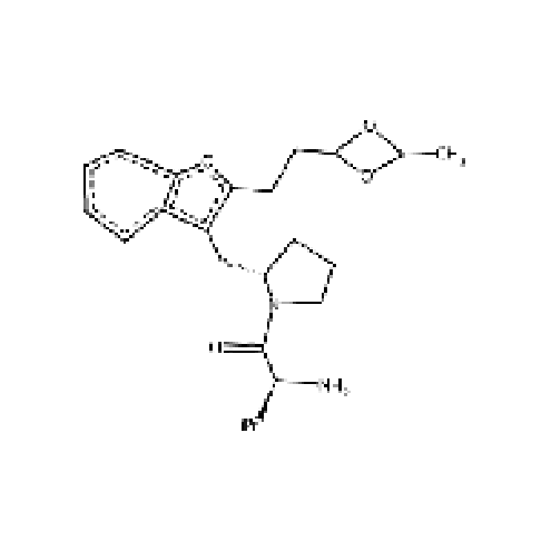 CC1OC(CCc2oc3ccccc3c2C[C@@H]2CCCN2C(=O)[C@@H](N)C(C)C)O1